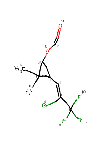 CC1(C)C(C=C(Br)C(F)(F)F)C1OC=O